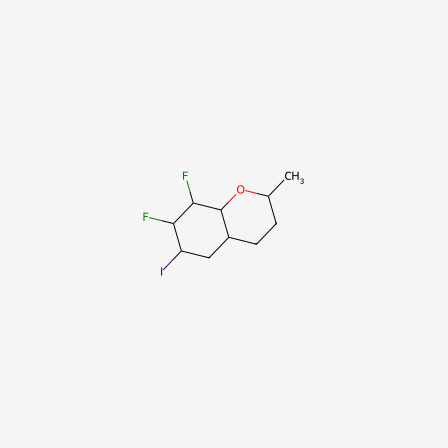 CC1CCC2CC(I)C(F)C(F)C2O1